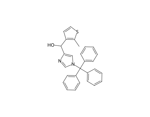 Cc1sccc1C(O)c1cn(C(c2ccccc2)(c2ccccc2)c2ccccc2)cn1